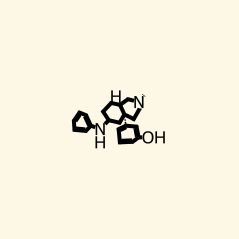 CN1CC[C@@]2(c3cccc(O)c3)CC(Nc3ccccc3)CC[C@@H]2C1